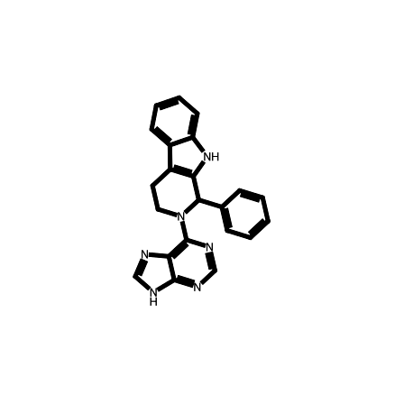 c1ccc(C2c3[nH]c4ccccc4c3CCN2c2ncnc3[nH]cnc23)cc1